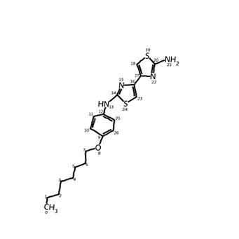 CCCCCCCCOc1ccc(Nc2nc(-c3csc(N)n3)cs2)cc1